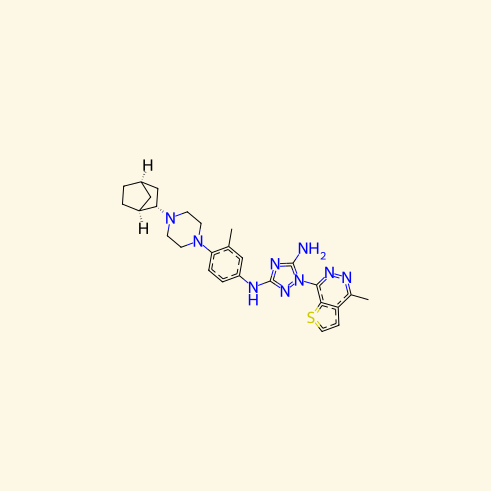 Cc1cc(Nc2nc(N)n(-c3nnc(C)c4ccsc34)n2)ccc1N1CCN([C@H]2C[C@@H]3CC[C@H]2C3)CC1